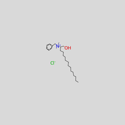 CCCCCCCCCCCCCCC(CO)[N+](C)(C)Cc1ccccc1.[Cl-]